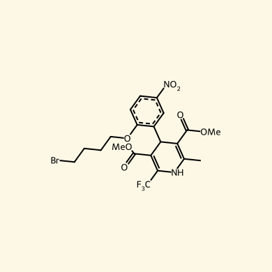 COC(=O)C1=C(C)NC(C(F)(F)F)=C(C(=O)OC)C1c1cc([N+](=O)[O-])ccc1OCCCCBr